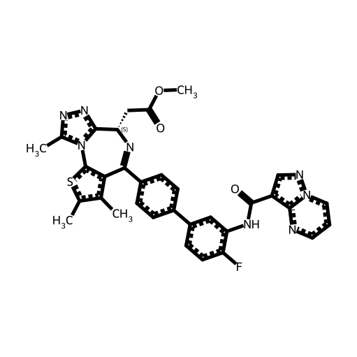 COC(=O)C[C@@H]1N=C(c2ccc(-c3ccc(F)c(NC(=O)c4cnn5cccnc45)c3)cc2)c2c(sc(C)c2C)-n2c(C)nnc21